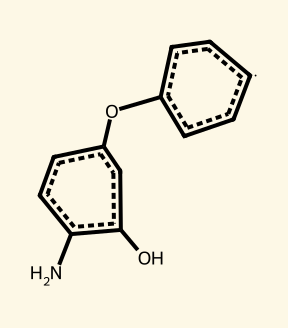 Nc1ccc(Oc2cc[c]cc2)cc1O